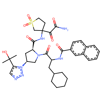 CC(C)(O)c1cnnn1[C@H]1C[C@@H](C(=O)NC2(C(=O)C(N)=O)CCS(=O)(=O)C2)N(C(=O)C(CC2CCCCC2)NC(=O)c2ccc3ccccc3c2)C1